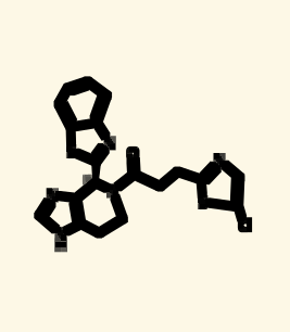 O=C(CCc1ncc(Cl)s1)N1CCc2[nH]cnc2[C@H]1c1nc2ccccc2s1